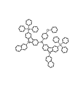 c1ccc(Oc2ccc(N(c3ccc4c(c3)c3cc([Si](c5ccccc5)(c5ccccc5)c5ccccc5)ccc3n4-c3ccc4ccccc4c3)c3ccc4c(c3)c3cc([Si](c5ccccc5)(c5ccccc5)c5ccccc5)ccc3n4-c3ccc4ccccc4c3)cc2)cc1